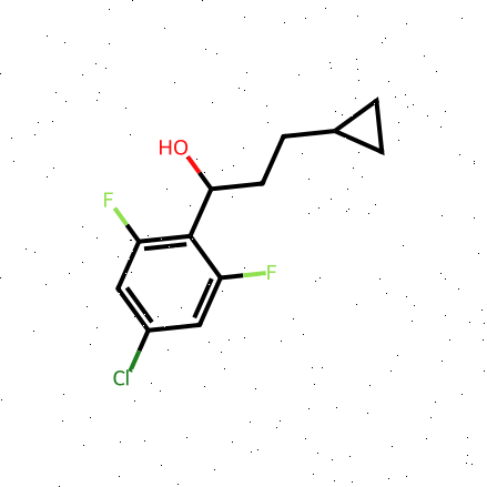 OC(CCC1CC1)c1c(F)cc(Cl)cc1F